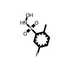 Cc1ccc(F)cc1S(=O)(=O)NO